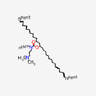 CCCCCC=CCC=CCCCCCCCCCC(CCCCCCCC=CCC=CCCCCC)OC(=O)N(CCCCCC)CCCN(C)C